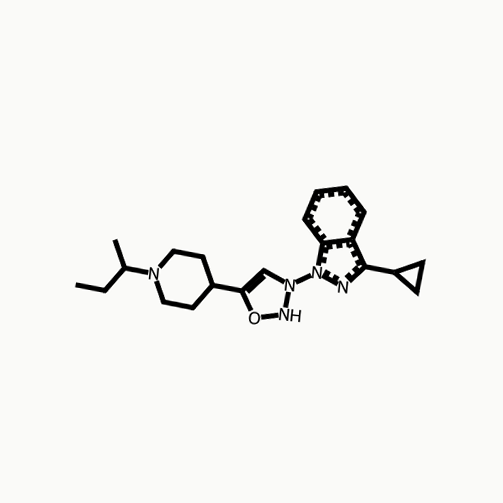 CCC(C)N1CCC(C2=CN(n3nc(C4CC4)c4ccccc43)NO2)CC1